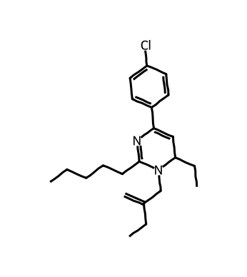 C=C(CC)CN1C(CCCCC)=NC(c2ccc(Cl)cc2)=CC1CC